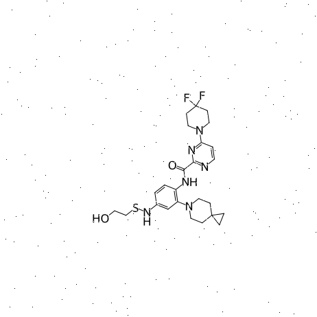 O=C(Nc1ccc(NSCCO)cc1N1CCC2(CC1)CC2)c1nccc(N2CCC(F)(F)CC2)n1